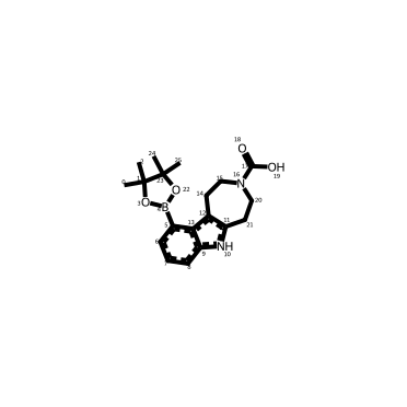 CC1(C)OB(c2cccc3[nH]c4c(c23)CCN(C(=O)O)CC4)OC1(C)C